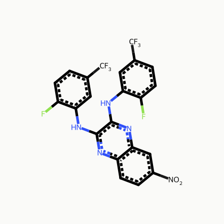 O=[N+]([O-])c1ccc2nc(Nc3cc(C(F)(F)F)ccc3F)c(Nc3cc(C(F)(F)F)ccc3F)nc2c1